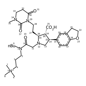 CCCCN(CCC[N+](C)(C)C)C(=O)CN1C[C@H](c2ccc3c(c2)CCO3)[C@@H](C(=O)O)[C@@H]1CCN1C(=O)CCN(C)C1=O